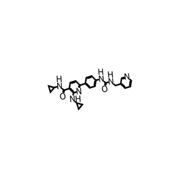 O=C(NCc1cccnc1)Nc1ccc(-c2ccc(C(=O)NC3CC3)c(NC3CC3)n2)cc1